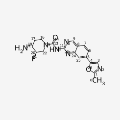 Cc1ncc(-c2ccc3cnc(NC(=O)N4CC[C@@H](N)[C@H](F)C4)nc3c2)o1